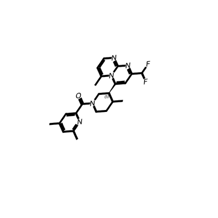 CC1=C=CN=C2N=C(C(F)F)C=C([C@@H]3CN(C(=O)c4cc(C)cc(C)n4)CCC3C)N12